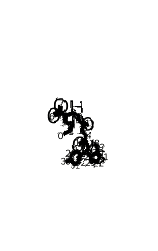 CCC1CC(C(=O)O)CCN1C(=O)CCC(=O)N1CCc2sccc2C1c1ccc(C)cc1